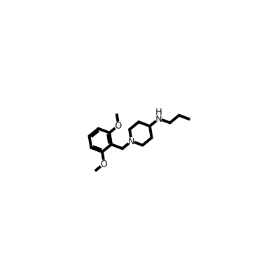 CCCNC1CCN(Cc2c(OC)cccc2OC)CC1